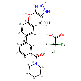 O=C(O)C(F)(F)F.O=C(O)c1[nH]nnc1Oc1ccc(-c2cccc(C(=O)N3CCCCC3)c2)cc1